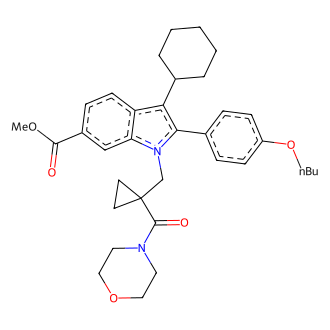 CCCCOc1ccc(-c2c(C3CCCCC3)c3ccc(C(=O)OC)cc3n2CC2(C(=O)N3CCOCC3)CC2)cc1